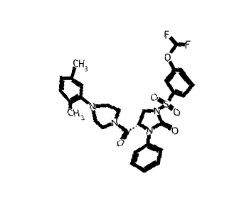 Cc1ccc(C)c(N2CCN(C(=O)[C@@H]3CN(S(=O)(=O)c4cccc(OC(F)F)c4)C(=O)N3c3ccccc3)CC2)c1